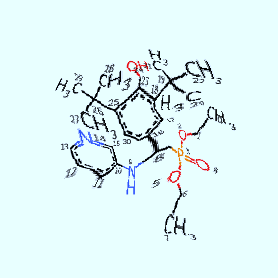 CCOP(=O)(OCC)C(Nc1cccnc1)c1cc(C(C)(C)C)c(O)c(C(C)(C)C)c1